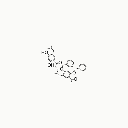 CC(=O)c1cc(CC(C)CCC(=O)c2cc(CC(C)C)c(O)cc2O)c(OCc2ccccc2)cc1OCc1ccccc1